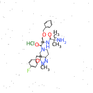 CN1N=C2CCN(C(=O)[C@@H](COCc3ccccc3)NC(=O)C(C)(C)N)C[C@@]2(Cc2ccc(F)cc2)C1=O.Cl